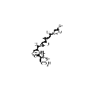 CC(C)C(=O)CNC(=O)CNC(=O)CNC(=O)C(CC(=O)O)NC(=O)C(CC(=O)O)NS